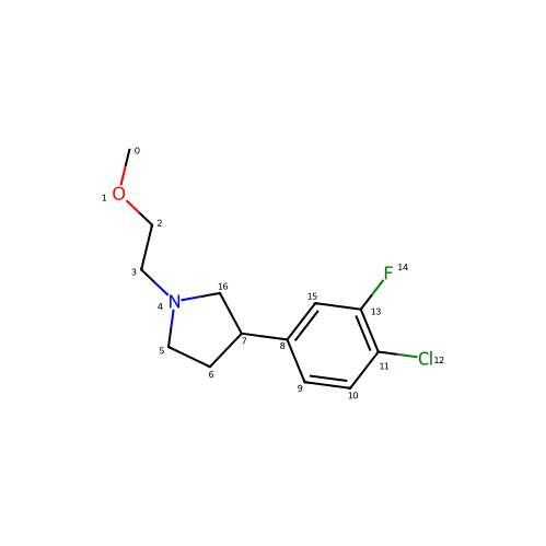 COCCN1CCC(c2ccc(Cl)c(F)c2)C1